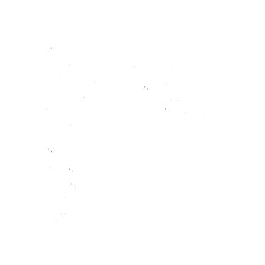 COc1cc(OCc2csc(C3(N)CCOCC3)n2)c2cc(-c3cn4nc(OC)sc4n3)oc2c1